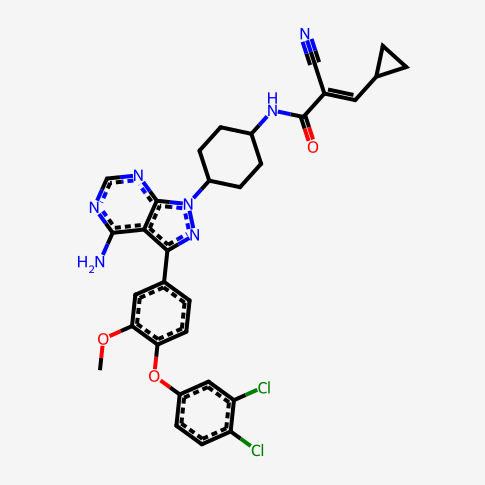 COc1cc(-c2nn(C3CCC(NC(=O)C(C#N)=CC4CC4)CC3)c3ncnc(N)c23)ccc1Oc1ccc(Cl)c(Cl)c1